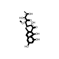 CO[C@H](C(=O)[C@@H](O)[C@@H](C)O)[C@@H]1Cc2cc3cc(O)cc(O)c3c(O)c2C(=O)[C@H]1O